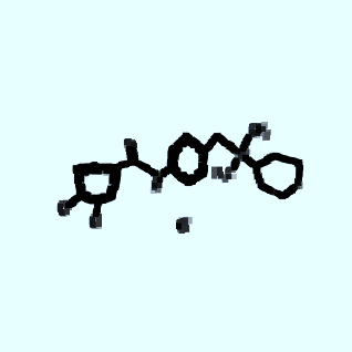 C[N+](C)(Cc1ccc(NC(=O)c2ccc(Cl)c(Cl)c2)cc1)C1CCSCC1.[Cl-]